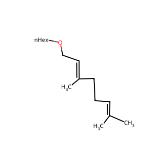 CCCCC[CH]OC/C=C(\C)CCC=C(C)C